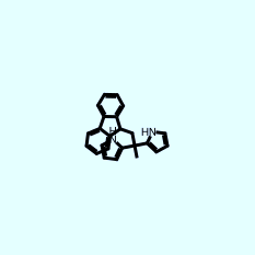 CC(CC1c2ccccc2-c2ccccc21)(c1ccc[nH]1)c1ccc[nH]1